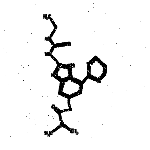 CCNC(=O)Nc1nc2cc(CC(=O)N(C)C)cc(-c3ncccn3)c2[nH]1